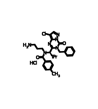 Cc1ccc(C(=O)N(CCCN)[C@@H](c2nc3c(Cl)cnn3c(=O)n2Cc2ccccc2)C(C)C)cc1.Cl